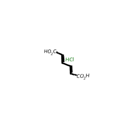 Cl.O=C(O)C=CC=CC(=O)O